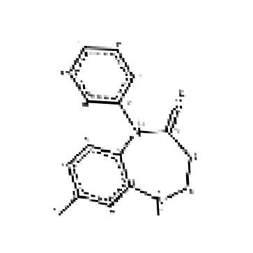 Cc1ccc2c(c1)NCCC(=O)N2c1ccccc1